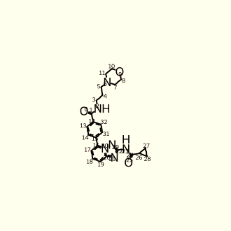 O=C(NCCCN1CCOCC1)c1ccc(-c2cccc3nc(NC(=O)C4CC4)nn23)cc1